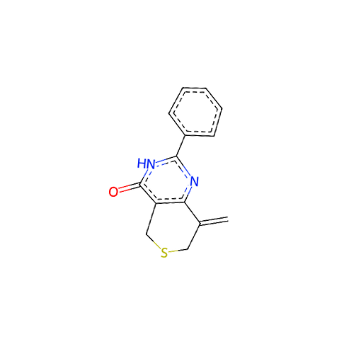 C=C1CSCc2c1nc(-c1ccccc1)[nH]c2=O